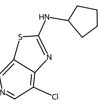 Clc1cncc2sc(NC3CCCC3)nc12